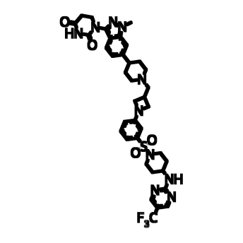 Cn1nc(N2CCC(=O)NC2=O)c2ccc(C3CCN(CC4CN(c5cccc(S(=O)(=O)N6CCC(Nc7ncc(C(F)(F)F)cn7)CC6)c5)C4)CC3)cc21